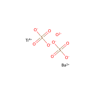 O=S(=O)([O-])[O-].O=S(=O)([O-])[O-].[Ba+2].[O-2].[Ti+4]